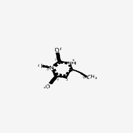 Cc1cc(=O)n(I)c(=O)[nH]1